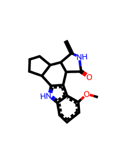 C=C1NC(=O)C2c3c([nH]c4cccc(OC)c34)C3CCCC3C12